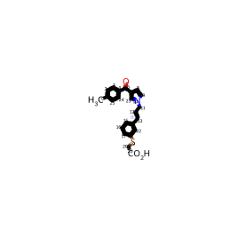 Cc1ccc(C(=O)c2ccn(C/C=C/c3cccc(SCC(=O)O)c3)c2)cc1